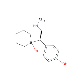 CNC[C@@H](c1ccc(O)cc1)[Si]1(O)CCCCC1